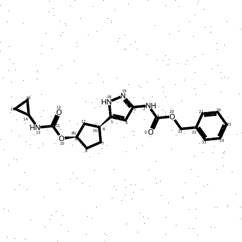 O=C(Nc1cc([C@H]2CC[C@@H](OC(=O)NC3CC3)C2)[nH]n1)OCc1ccccc1